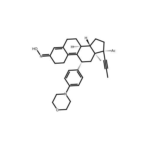 CC#C[C@]1(C(C)=O)CC[C@H]2[C@@H]3CCC4=CC(=NO)CCC4=C3[C@@H](c3ccc(N4CCOCC4)cc3)C[C@@]21C